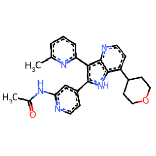 CC(=O)Nc1cc(-c2[nH]c3c(C4CCOCC4)ccnc3c2-c2cccc(C)n2)ccn1